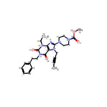 CC#CCn1c(N2CCN(C(=O)OC(C)(C)C)CC2)nc2c1c(=O)n(CCc1ccccc1)c(=O)n2CC(=O)O